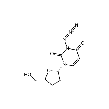 [N-]=[N+]=Nn1c(=O)ccn([C@@H]2CC[C@H](CO)O2)c1=O